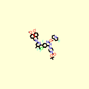 COc1ccc(CN(Cc2ccc(OC)cc2)c2cc(C)c(C(F)(F)F)c(-c3c(Cl)cc4c(N5CCN(C(=O)OC(C)(C)C)CC5)nc(OC[C@]56CCCN5C[C@H](F)C6)nc4c3F)n2)cc1